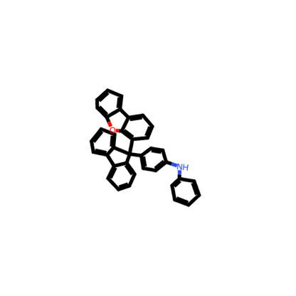 c1ccc(Nc2ccc(C3(c4cccc5c4oc4ccccc45)c4ccccc4-c4ccccc43)cc2)cc1